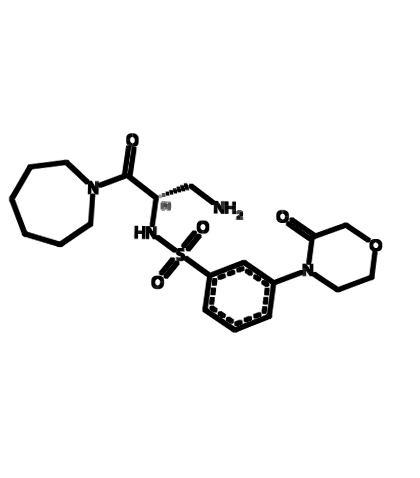 NC[C@H](NS(=O)(=O)c1cccc(N2CCOCC2=O)c1)C(=O)N1CCCCCC1